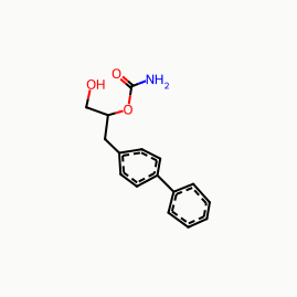 NC(=O)OC(CO)Cc1ccc(-c2ccccc2)cc1